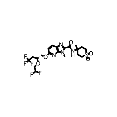 Cn1c(C(=O)NC2(C)CCS(=O)(=O)CC2)nc2ccc(OC[C@@H](CC(F)(F)F)OCC(F)F)nc21